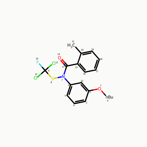 CCCCOc1cccc(N(SC(F)(Cl)Cl)C(=O)c2ccccc2C)c1